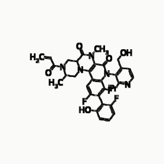 C=CC(=O)N1CC2C(=O)N(C)c3c(c4cc(F)c(-c5c(O)cccc5F)c(F)c4n(-c4c(CO)ccnc4C(C)C)c3=O)N2CC1C